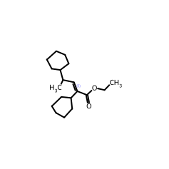 CCOC(=O)/C(=C/C(C)C1CCCCC1)C1CCCCC1